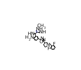 CCN/C=C(\C=N)C(=N)c1cc(-c2nnc(C3CCCN(Cc4c(F)cccc4F)C3)o2)ccc1N